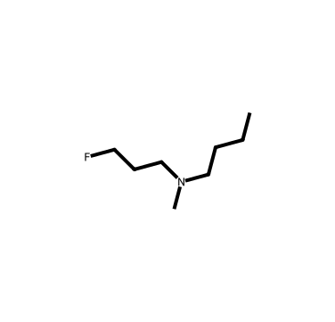 CCCCN(C)CCCF